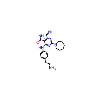 N=Cc1nc(N2CCCCCC2)nc(Nc2ccc(CCN)cc2)c1C(N)=O